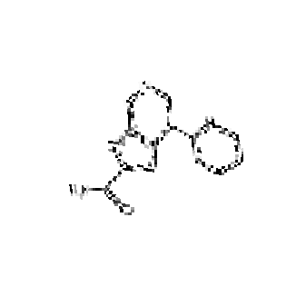 NC(=O)c1cc2c(-c3ccccn3)cncc2s1